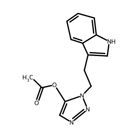 CC(=O)Oc1cnnn1CCc1c[nH]c2ccccc12